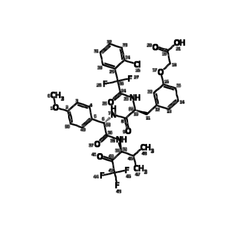 COc1ccc([C@H](NC(=O)[C@H](Cc2cccc(OCC(=O)O)c2)NC(=O)C(F)(F)c2ccccc2Cl)C(=O)N[C@H](C(=O)C(F)(F)F)C(C)C)cc1